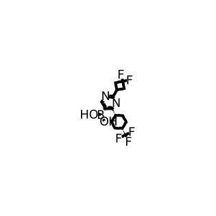 OB(O)c1cnc(C2CC(F)(F)C2)nc1[C@H]1CC[C@@H](C(F)(F)F)CC1